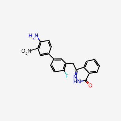 Nc1ccc(-c2ccc(F)c(Cc3n[nH]c(=O)c4ccccc34)c2)cc1[N+](=O)[O-]